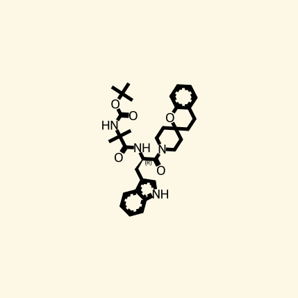 CC(C)(C)OC(=O)NC(C)(C)C(=O)N[C@H](Cc1c[nH]c2ccccc12)C(=O)N1CCC2(CCc3ccccc3O2)CC1